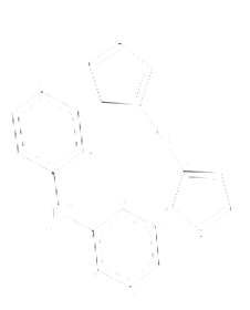 C1=CC[C]([Pd][C]2=CC=CC2)=C1.[Fe].c1ccc(Pc2ccccc2)cc1